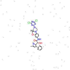 Cc1cc(-c2ccccc2)c(C(O)C(=O)Nc2ccc3c(c2)OC[C@H]2CN(c4nc(Cl)nc(Cl)n4)CCN32)n1C